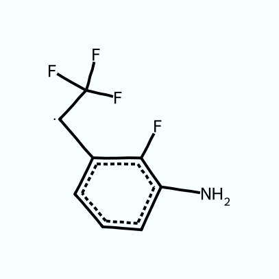 Nc1cccc([CH]C(F)(F)F)c1F